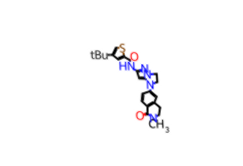 CN1CCc2cc(N3CCn4nc(NC(=O)c5cc(C(C)(C)C)cs5)cc43)ccc2C1=O